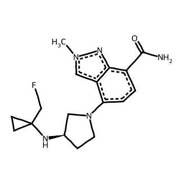 Cn1cc2c(N3CC[C@@H](NC4(CF)CC4)C3)ccc(C(N)=O)c2n1